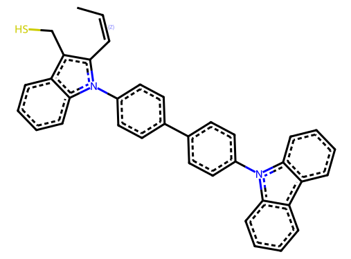 C/C=C\c1c(CS)c2ccccc2n1-c1ccc(-c2ccc(-n3c4ccccc4c4ccccc43)cc2)cc1